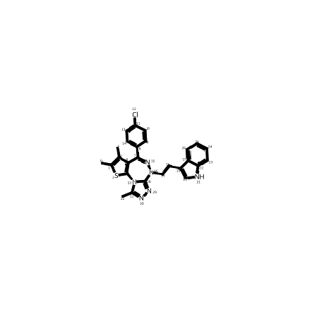 Cc1sc2c(c1C)C(c1ccc(Cl)cc1)=NN(CCc1c[nH]c3ccccc13)c1nnc(C)n1-2